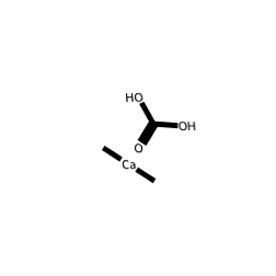 O=C(O)O.[CH3][Ca][CH3]